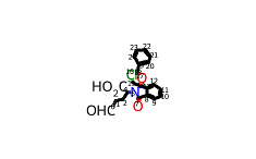 O=CCCC(C(=O)O)N1C(=O)c2ccccc2C1(CCl)OCc1ccccc1